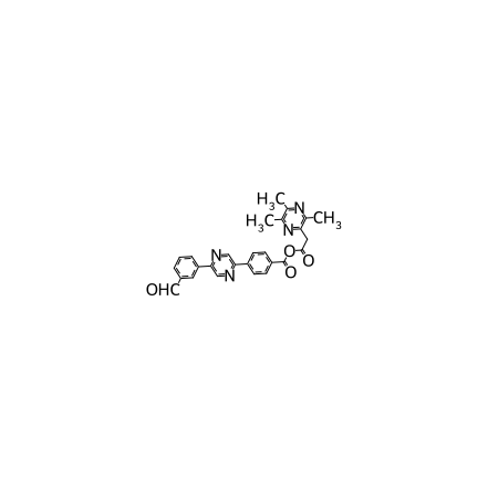 Cc1nc(C)c(CC(=O)OC(=O)c2ccc(-c3cnc(-c4cccc(C=O)c4)cn3)cc2)nc1C